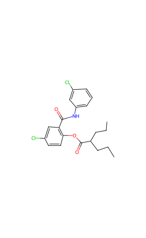 CCCC(CCC)C(=O)Oc1ccc(Cl)cc1C(=O)Nc1cccc(Cl)c1